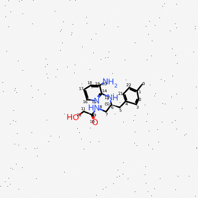 Cc1ccc(C[C@@H](CNC(=O)CO)Nc2ncccc2N)cc1